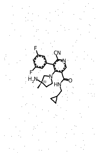 C[C@]1(N)CCN(c2c(C(=O)NCC3CC3)cnc(C#N)c2-c2cc(F)cc(F)c2)C1